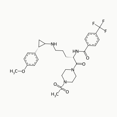 COc1ccc([C@@H]2CC2NCCC[C@H](NC(=O)c2ccc(C(F)(F)F)cc2)C(=O)N2CCN(S(C)(=O)=O)CC2)cc1